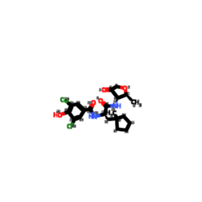 C[C@@H]1OCC(=O)[C@H]1NC(=O)[C@H](CC1(C)CCCC1)NC(=O)c1cc(Cl)c(O)c(Cl)c1